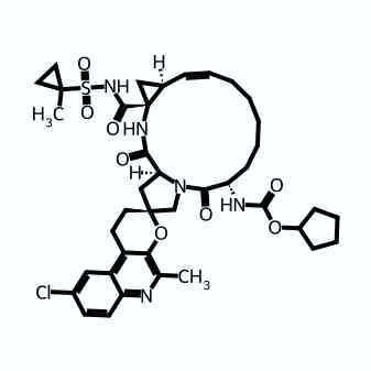 Cc1nc2ccc(Cl)cc2c2c1O[C@]1(CC2)C[C@H]2C(=O)N[C@]3(C(=O)NS(=O)(=O)C4(C)CC4)C[C@H]3/C=C\CCCCC[C@H](NC(=O)OC3CCCC3)C(=O)N2C1